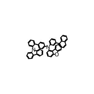 c1cc(-c2cccc3ccccc23)cc(N(c2ccc(-c3ccccc3-n3c4ccccc4c4ccccc43)cc2)c2cccc3oc4ccccc4c23)c1